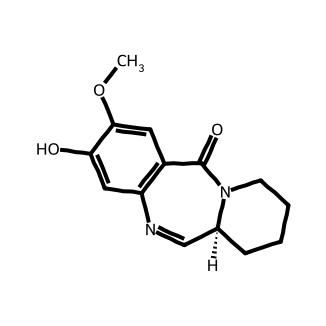 COc1cc2c(cc1O)N=C[C@@H]1CCCCN1C2=O